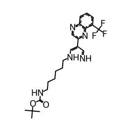 CC(C)(C)OC(=O)NCCCCCCN/C=C(\C=N)c1cnc2cccc(C(F)(F)F)c2n1